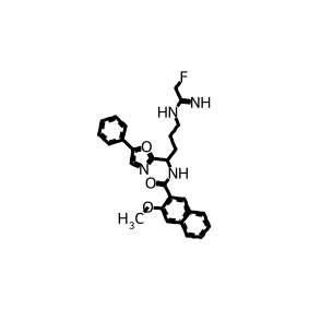 COc1cc2ccccc2cc1C(=O)NC(CCCNC(=N)CF)c1ncc(-c2ccccc2)o1